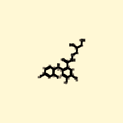 O=C(NOCC(O)CO)c1cc(Br)c(F)cc1Nc1ccc(I)cc1F